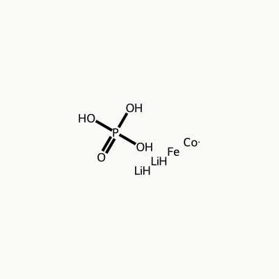 O=P(O)(O)O.[Co].[Fe].[LiH].[LiH]